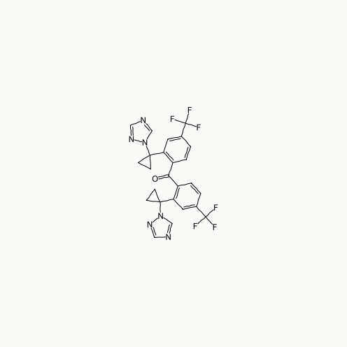 O=C(c1ccc(C(F)(F)F)cc1C1(n2cncn2)CC1)c1ccc(C(F)(F)F)cc1C1(n2cncn2)CC1